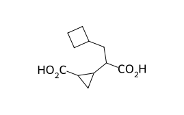 O=C(O)C(CC1CCC1)C1CC1C(=O)O